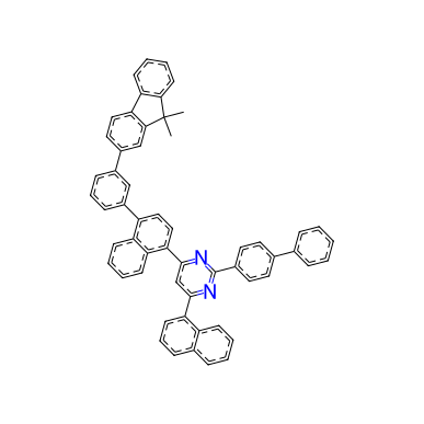 CC1(C)c2ccccc2-c2ccc(-c3cccc(-c4ccc(-c5cc(-c6cccc7ccccc67)nc(-c6ccc(-c7ccccc7)cc6)n5)c5ccccc45)c3)cc21